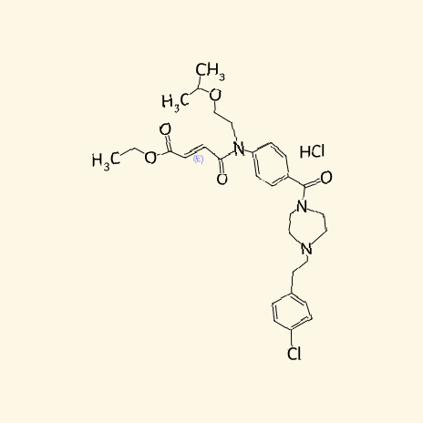 CCOC(=O)/C=C/C(=O)N(CCOC(C)C)c1ccc(C(=O)N2CCN(CCc3ccc(Cl)cc3)CC2)cc1.Cl